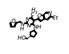 CCc1cc2cc(-c3c(C)nc(NCc4ccco4)nc3N[C@H]3CC[C@@H](CO)C3)oc2cn1